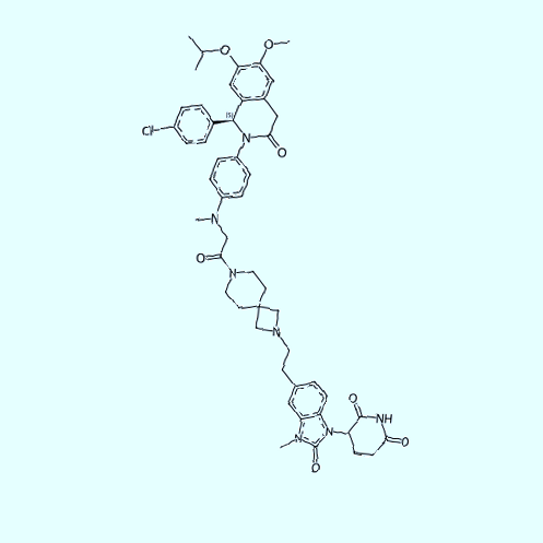 COc1cc2c(cc1OC(C)C)[C@H](c1ccc(Cl)cc1)N(c1ccc(N(C)CC(=O)N3CCC4(CC3)CN(CCc3ccc5c(c3)n(C)c(=O)n5C3CCC(=O)NC3=O)C4)cc1)C(=O)C2